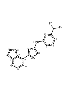 FC(F)c1cccc(Nc2csc(-c3ncnc4c[c]sc34)c2)c1